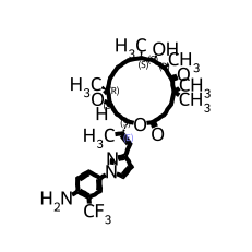 C/C(=C\c1ccn(-c2ccc(N)c(C(F)(F)F)c2)n1)[C@@H]1C[C@@H]2O[C@]2(C)CCC[C@H](C)[C@H](O)[C@@H](C)C(=O)C(C)(C)CCC(=O)O1